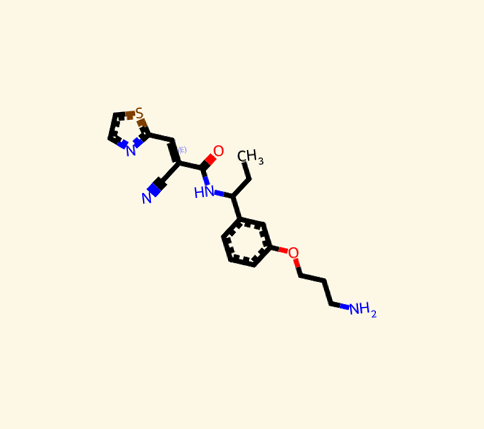 CCC(NC(=O)/C(C#N)=C/c1nccs1)c1cccc(OCCCN)c1